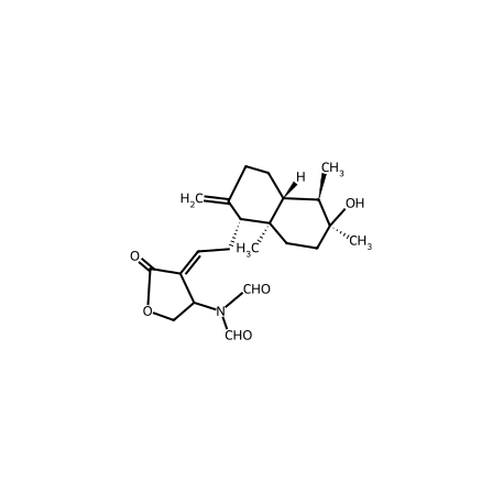 C=C1CC[C@@H]2[C@@H](C)[C@@](C)(O)CC[C@@]2(C)[C@@H]1C/C=C1/C(=O)OCC1N(C=O)C=O